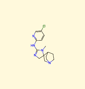 CN1C(Nc2ccc(Cl)cn2)=NCC12CN1CCC2CC1